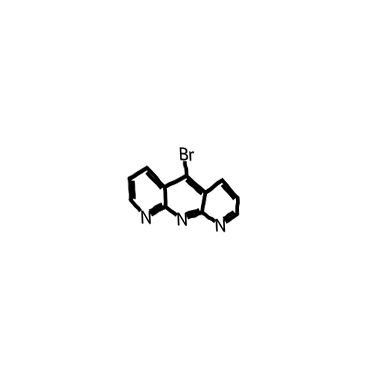 Brc1c2cccnc2nc2ncccc12